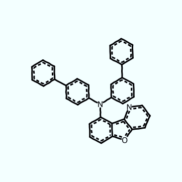 c1ccc(-c2ccc(N(c3cccc(-c4ccccc4)c3)c3cccc4oc5cccnc5c34)cc2)cc1